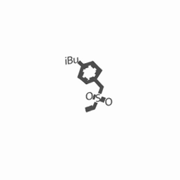 C=CS(=O)(=O)Cc1ccc(C(C)CC)cc1